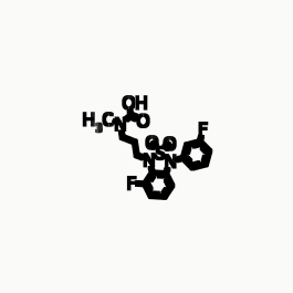 CN(CCCN1c2c(F)cccc2N(c2cccc(F)c2)S1(=O)=O)C(=O)O